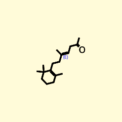 CC(=O)C/C=C(\C)CCC1=C(C)CCCC1(C)C